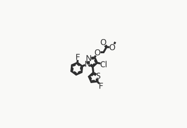 COC(=O)COc1nn(-c2ccccc2F)c(-c2ccc(F)s2)c1Cl